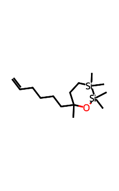 C=CCCCCC1(C)CC[Si](C)(C)[Si](C)(C)O1